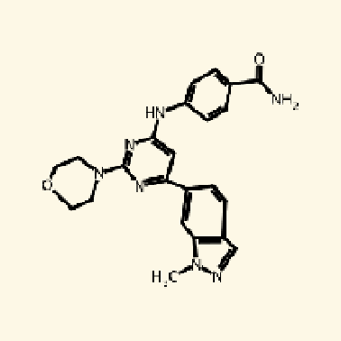 Cn1ncc2ccc(-c3cc(Nc4ccc(C(N)=O)cc4)nc(N4CCOCC4)n3)cc21